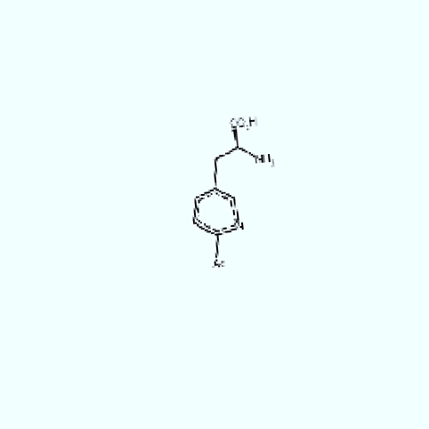 CC(=O)c1ccc(C[C@H](N)C(=O)O)cn1